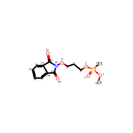 CCOP(=O)(CC)OCCCON1C(=O)c2ccccc2C1=O